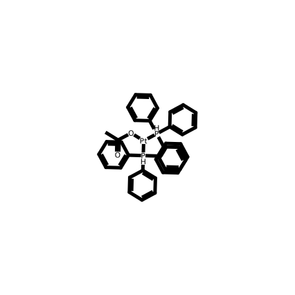 CC(=O)[O][Pt]([PH](c1ccccc1)(c1ccccc1)c1ccccc1)[PH](c1ccccc1)(c1ccccc1)c1ccccc1